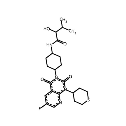 CC(C)C(O)C(=O)NC1CCC(n2c(=O)c3cc(F)cnc3n(C3CCSCC3)c2=O)CC1